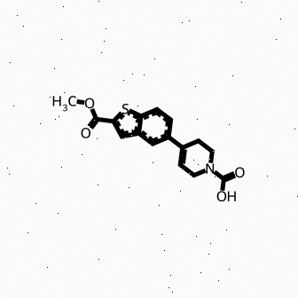 COC(=O)c1cc2cc(C3=CCN(C(=O)O)CC3)ccc2s1